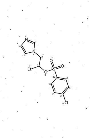 CCC(Cn1ccnc1)OS(=O)(=O)c1ccc(Cl)cc1